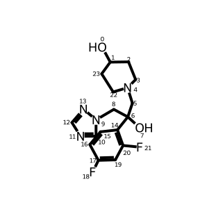 OC1CCN(CC(O)(Cn2cncn2)c2ccc(F)cc2F)CC1